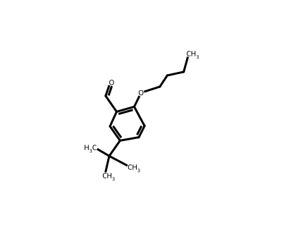 CCCCOc1ccc(C(C)(C)C)cc1C=O